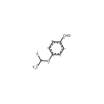 O=[C]c1ccc(OC(F)C(F)(F)F)cc1